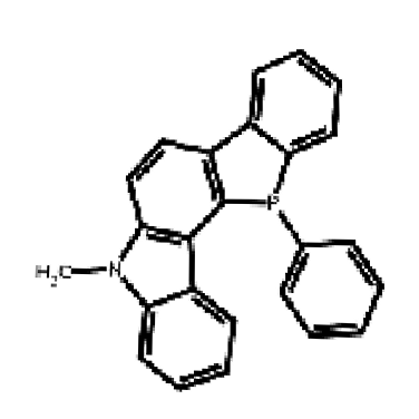 Cn1c2ccccc2c2c1ccc1c3ccccc3p(-c3ccccc3)c12